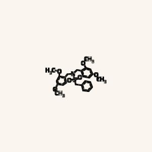 COc1ccc(CN(Cc2ccc(OC)cc2OC)S(=O)(=O)Cc2ccccc2)c(OC)c1